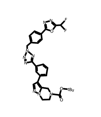 CC(C)(C)OC(=O)N1CCn2ncc(-c3cccc(-c4nnn(Cc5ccc(-c6nnc(C(F)F)o6)cc5)n4)c3)c2C1